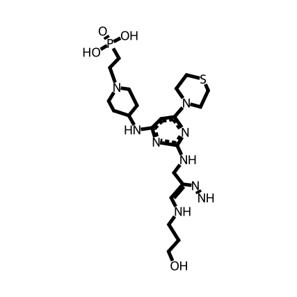 N=N/C(=C\NCCCO)CNc1nc(NC2CCN(CCP(=O)(O)O)CC2)cc(N2CCSCC2)n1